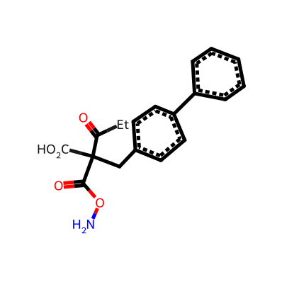 CCC(=O)C(Cc1ccc(-c2ccccc2)cc1)(C(=O)O)C(=O)ON